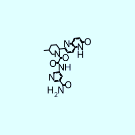 CC1CCC(c2ccc3[nH]c(=O)ccc3n2)N(C(=O)C(=O)Nc2cncc(C(N)=O)c2)C1